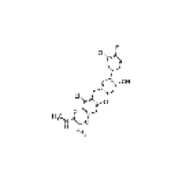 CNC(=O)[C@@H](C)Oc1cc(Cl)c(Cc2ccc(O)c(-c3ccc(F)c(Cl)c3)c2)c(Cl)c1